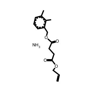 C=CCOC(=O)CCC(=O)OCc1cccc(C)c1C.N